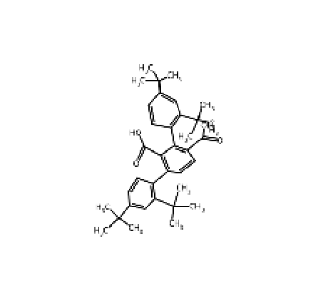 CC(C)(C)c1ccc(-c2ccc(C(=O)O)c(-c3ccc(C(C)(C)C)cc3C(C)(C)C)c2C(=O)O)c(C(C)(C)C)c1